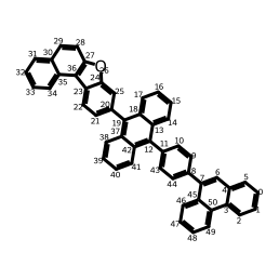 c1ccc2c(c1)cc(-c1ccc(-c3c4ccccc4c(-c4ccc5c(c4)oc4ccc6ccccc6c45)c4ccccc34)cc1)c1ccccc12